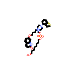 O=c1ccc2ccc(OCCCC[N+]3(COP(=O)([O-])OCCCCCCCCO)CCN(c4cccc5sccc45)CC3)cc2[nH]1